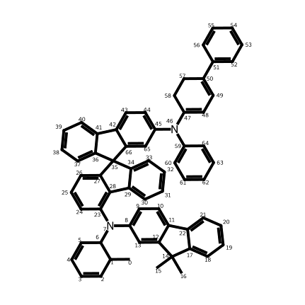 CC1C=CC=CC1N(c1ccc2c(c1)C(C)(C)c1ccccc1-2)c1cccc2c1-c1ccccc1C21c2ccccc2-c2ccc(N(C3=CC=C(c4ccccc4)CC3)c3ccccc3)cc21